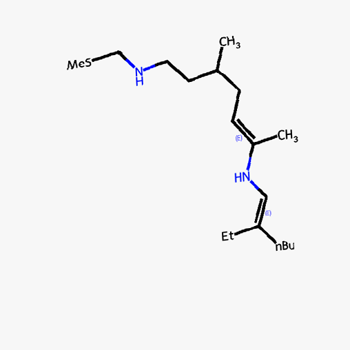 CCCC/C(=C/N/C(C)=C/CC(C)CCNCSC)CC